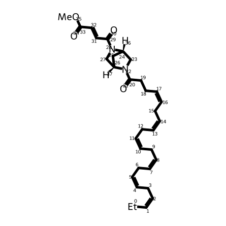 CC/C=C\C/C=C\C/C=C\C/C=C\C/C=C\C/C=C\CCC(=O)N1C[C@@H]2C[C@H]1CN2C(=O)/C=C/C(=O)OC